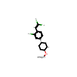 CCCCCCCO[C@H]1CC[C@H](c2ccc(C=C(F)F)c(F)c2)CC1